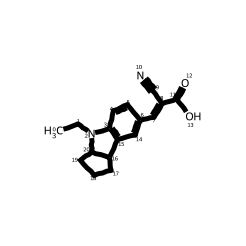 CCN1c2ccc(/C=C(\C#N)C(=O)O)cc2C2CCCC21